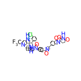 CC(C)(C)C[C@@H]1N[C@@H](C(=O)NC23CCC(C(=O)N4CC(c5ccc6c(c5)CN(C5CCC(=O)NC5=O)C6=O)C4)(CC2)CC3)[C@H](c2cccc(Cl)c2F)[C@]12CNc1cc(C(F)(F)F)ncc12